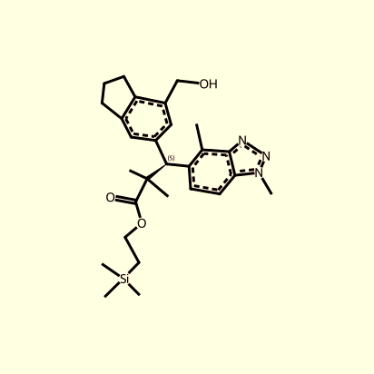 Cc1c([C@H](c2cc(CO)c3c(c2)CCC3)C(C)(C)C(=O)OCC[Si](C)(C)C)ccc2c1nnn2C